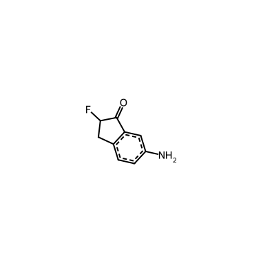 Nc1ccc2c(c1)C(=O)C(F)C2